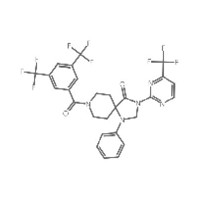 O=C(c1cc(C(F)(F)F)cc(C(F)(F)F)c1)N1CCC2(CC1)C(=O)N(c1nccc(C(F)(F)F)n1)CN2c1ccccc1